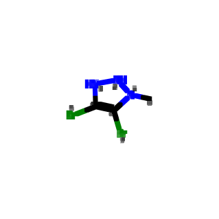 CN1NNC(Br)=C1Br